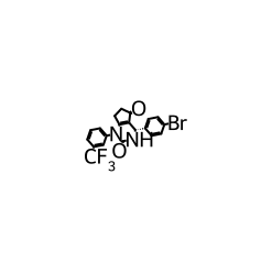 O=C1CCC2=C1[C@H](c1ccc(Br)cc1)NC(=O)N2c1cccc(C(F)(F)F)c1